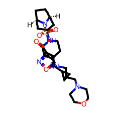 O=C(N[C@H]1C[C@H]2CC[C@@H](C1)N2S(=O)(=O)N1CCC(NCCCN2CCOCC2)CC1)c1cc(C2CC2)on1